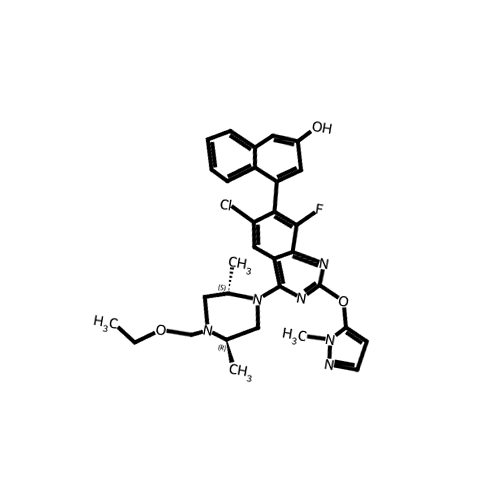 CCOCN1C[C@H](C)N(c2nc(Oc3ccnn3C)nc3c(F)c(-c4cc(O)cc5ccccc45)c(Cl)cc23)C[C@H]1C